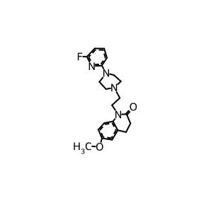 COc1ccc2c(c1)CCC(=O)N2CCN1CCN(c2cccc(F)n2)CC1